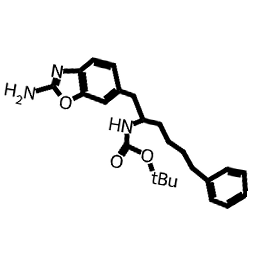 CC(C)(C)OC(=O)NC(CCCCc1ccccc1)Cc1ccc2nc(N)oc2c1